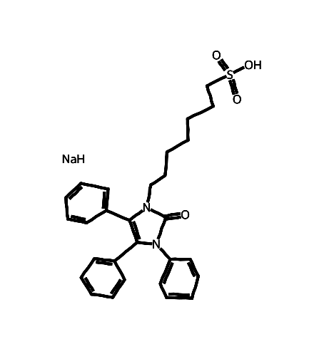 O=c1n(CCCCCCCS(=O)(=O)O)c(-c2ccccc2)c(-c2ccccc2)n1-c1ccccc1.[NaH]